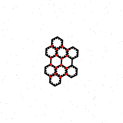 c1ccc(-c2cccc(-c3cccc(-c4ccccc4)c3B3c4ccccc4Oc4ccccc43)c2B2c3ccccc3Oc3ccccc32)cc1